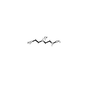 CCCOCCOC.[Ce]